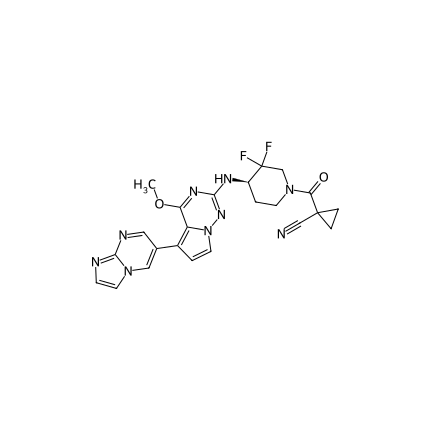 COc1nc(N[C@@H]2CCN(C(=O)C3(C#N)CC3)CC2(F)F)nn2ccc(-c3cnc4nccn4c3)c12